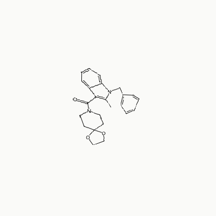 Cc1c(C(=O)N2CCC3(CC2)OCCO3)c2ccccc2n1Cc1ccccc1